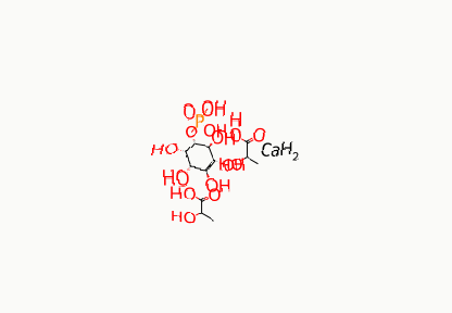 CC(O)C(=O)O.CC(O)C(=O)O.O=P(O)(O)O[C@@H]1[C@@H](O)[C@H](O)[C@@H](O)[C@H](O)[C@@H]1O.[CaH2]